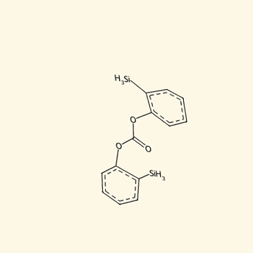 O=C(Oc1ccccc1[SiH3])Oc1ccccc1[SiH3]